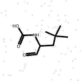 CC(C)(C)CC(C=O)NC(=O)O